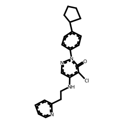 O=c1c(Cl)c(NCCc2ccccn2)cnn1-c1ccc(C2CCCC2)cc1